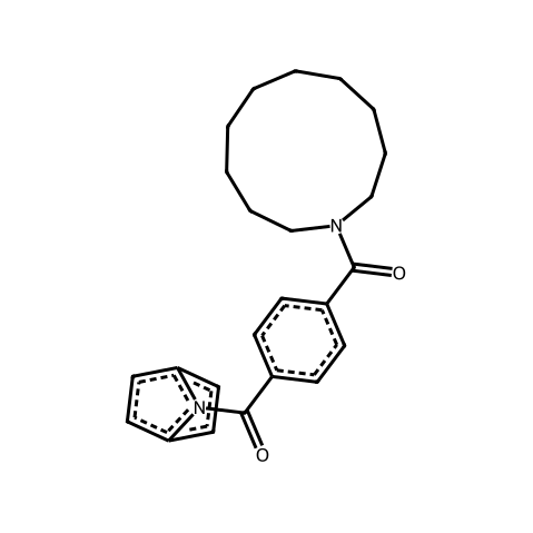 O=C(c1ccc(C(=O)n2c3ccc2cc3)cc1)N1CCCCCCCCCC1